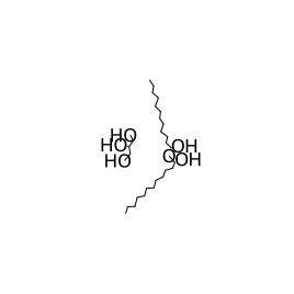 CCCCCCCCCCCC(O)OC(O)CCCCCCCCCCC.OCC(O)CO